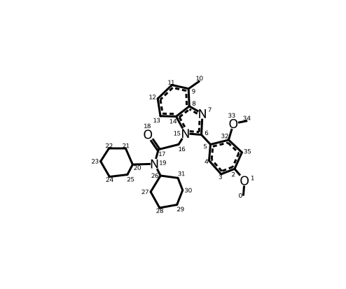 COc1ccc(-c2nc3c(C)cccc3n2CC(=O)N(C2CCCCC2)C2CCCCC2)c(OC)c1